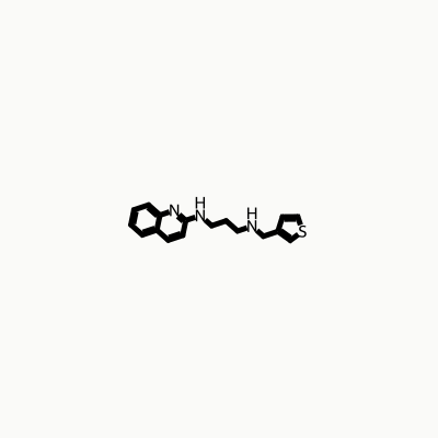 c1ccc2nc(NCCCNCc3ccsc3)ccc2c1